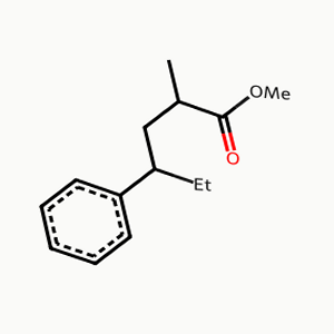 CCC(CC(C)C(=O)OC)c1ccccc1